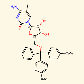 COc1ccc(C(OC[C@H]2O[C@@H](n3cc(C)c(N)nc3=O)[C@H](O)[C@@H]2O)(c2ccccc2)c2ccc(OC)cc2)cc1